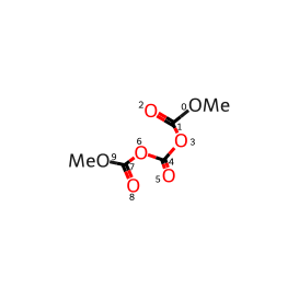 COC(=O)OC(=O)OC(=O)OC